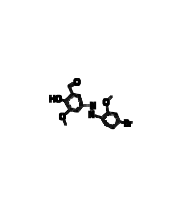 COc1cc(Br)ccc1N=Nc1cc(C=O)c(O)c(OC)c1